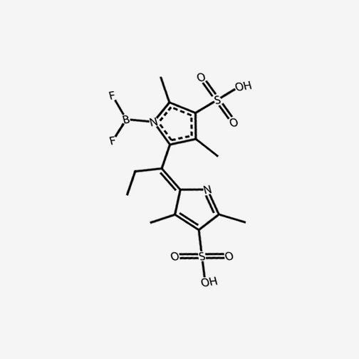 CC/C(=C1/N=C(C)C(S(=O)(=O)O)=C1C)c1c(C)c(S(=O)(=O)O)c(C)n1B(F)F